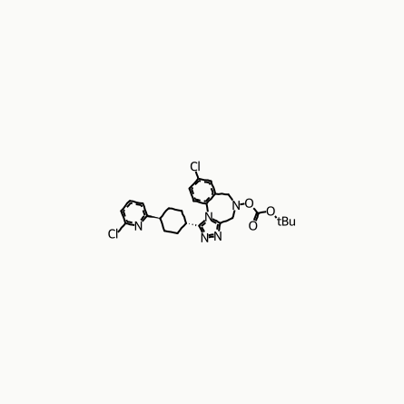 CC(C)(C)OC(=O)ON1Cc2cc(Cl)ccc2-n2c(nnc2[C@H]2CC[C@H](c3cccc(Cl)n3)CC2)C1